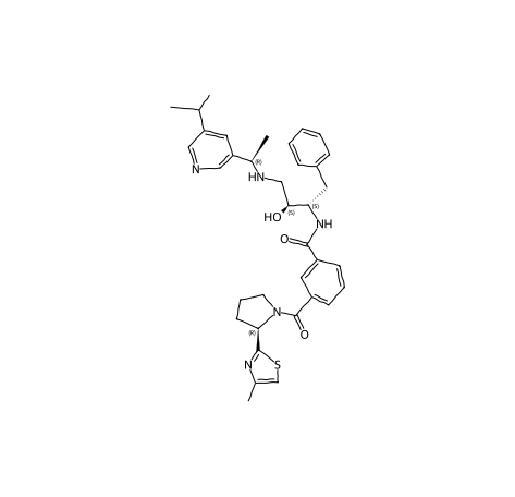 Cc1csc([C@H]2CCCN2C(=O)c2cccc(C(=O)N[C@@H](Cc3ccccc3)[C@@H](O)CN[C@H](C)c3cncc(C(C)C)c3)c2)n1